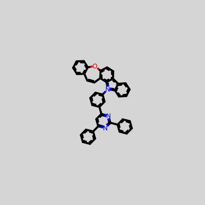 C1=Cc2c(ccc3c4ccccc4n(-c4cccc(-c5cc(-c6ccccc6)nc(-c6ccccc6)n5)c4)c23)Oc2ccccc21